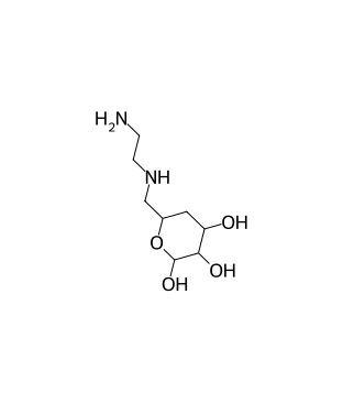 NCCNCC1CC(O)C(O)C(O)O1